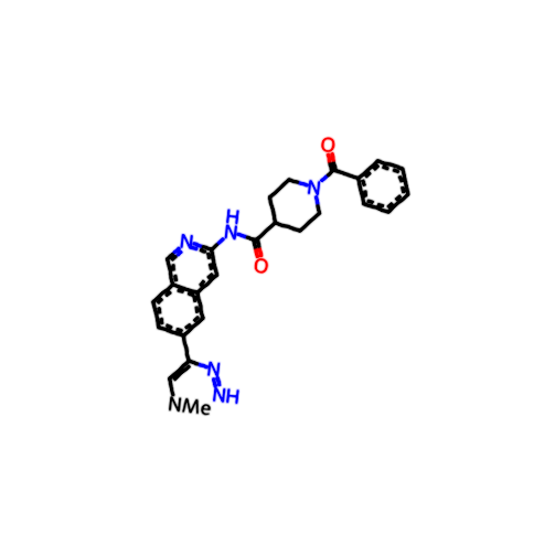 CN/C=C(\N=N)c1ccc2cnc(NC(=O)C3CCN(C(=O)c4ccccc4)CC3)cc2c1